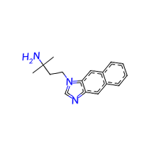 CC(C)(N)CCn1cnc2cc3ccccc3cc21